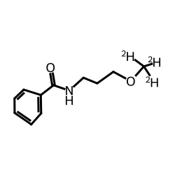 [2H]C([2H])([2H])OCCCNC(=O)c1ccccc1